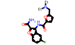 CCN(CC)Cc1ccc(C(=O)Nc2c(C(N)=O)oc3ccc(F)cc23)o1